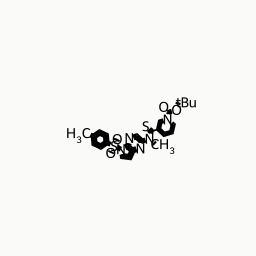 Cc1ccc(S(=O)(=O)n2ccc3nc(N(C)C(=S)[C@@H]4CCCN(C(=O)OC(C)(C)C)C4)cnc32)cc1